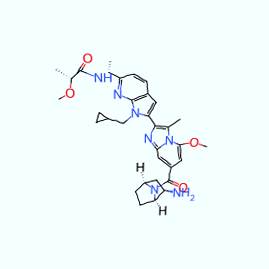 COc1cc(C(=O)N2[C@H]3CC[C@@H]2[C@H](N)C3)cc2nc(-c3cc4ccc([C@@H](C)NC(=O)[C@@H](C)OC)nc4n3CC3CC3)c(C)n12